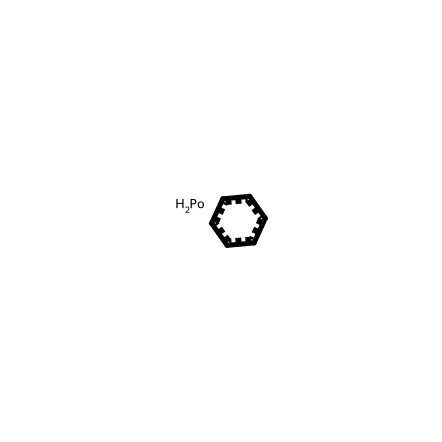 [PoH2].c1ccccc1